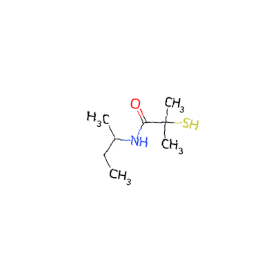 CCC(C)NC(=O)C(C)(C)S